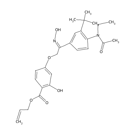 C=CCOC(=O)c1ccc(OCC(=NO)c2ccc(N(CC)C(C)=O)c(C(C)(C)C)c2)cc1O